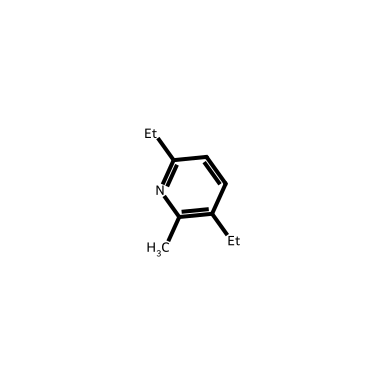 CCc1ccc(CC)c(C)n1